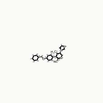 Cc1c(-n2ccnc2)cnc(C#N)c1-c1ccc(OCc2ccccc2)cc1